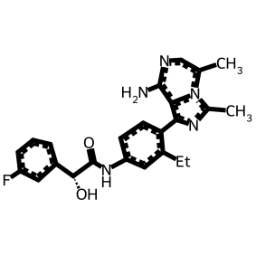 CCc1cc(NC(=O)[C@H](O)c2cccc(F)c2)ccc1-c1nc(C)n2c(C)cnc(N)c12